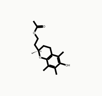 CC(=O)OCC[C@@]1(C)CCc2c(C)c(O)c(C)c(C)c2O1